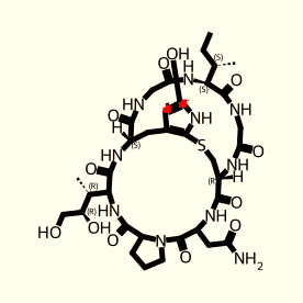 CC[C@H](C)[C@@H]1NC(=O)CNC(=O)[C@@H]2Cc3c([nH]c4cc(O)ccc34)SC[C@H](NC(=O)CNC1=O)C(=O)NC(CC(N)=O)C(=O)N1CCCC1C(=O)NC([C@@H](C)[C@@H](O)CO)C(=O)N2